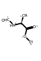 CCOC(=O)[C@H](C#N)NC=O